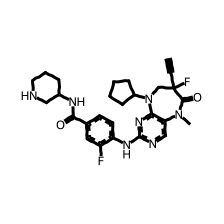 C#CC1(F)CN(C2CCCC2)c2nc(Nc3ccc(C(=O)NC4CCCNC4)cc3F)ncc2N(C)C1=O